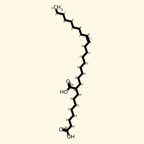 CCCCCCCC/C=C\CCCCCCCCC(CCCCCCCC(=O)O)C(=O)O